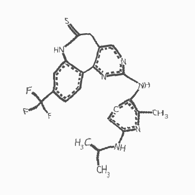 Cc1nc(NC(C)C)ccc1Nc1ncc2c(n1)-c1ccc(C(F)(F)F)cc1NC(=S)C2